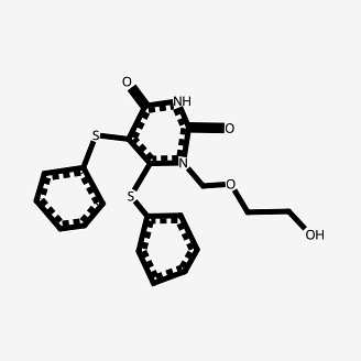 O=c1[nH]c(=O)n(COCCO)c(Sc2ccccc2)c1Sc1ccccc1